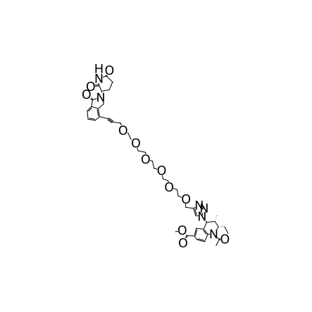 CC[C@H]1[C@@H](C)[C@H](n2cc(COCCOCCOCCOCCOCCOCC#Cc3cccc4c3CN(C3CCC(=O)NC3=O)C4=O)nn2)c2cc(C(=O)OC)ccc2N1C(C)=O